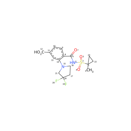 CC1(S(=O)(=O)NC(=O)c2ccc(C(=O)O)cc2N2CCC(F)(F)C2)CC1